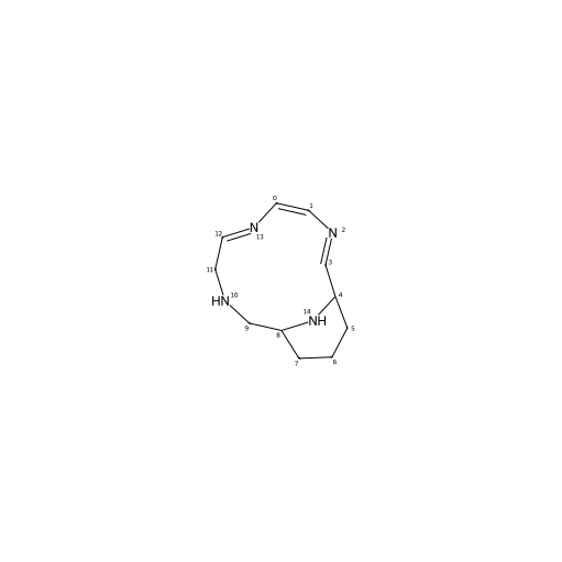 C1=C\N=C\C2CCCC(CNC/C=N/1)N2